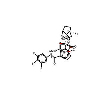 COC(=O)N1CCCC1C(=O)NC[C@@]1(O)C2CC[C@H]1C[C@H](S(=O)(=O)c1cc(C(=O)Nc3cc(F)c(F)c(F)c3)ccc1Cl)C2